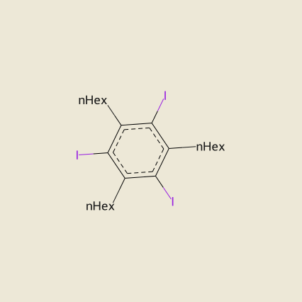 CCCCCCc1c(I)c(CCCCCC)c(I)c(CCCCCC)c1I